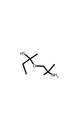 CCC(C)(S)OCC(C)(C)N